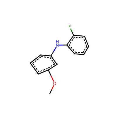 COc1cccc(Nc2ccccc2F)c1